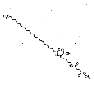 CCC=CCC=CCC=CCC=CCC=CCC=CCCC(=O)N[C@@H](CCCCNC(=O)C=CC(=O)OC)C(=O)O